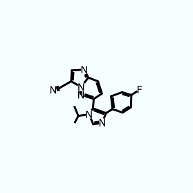 CC(C)n1cnc(-c2ccc(F)cc2)c1-c1ccc2ncc(C#N)n2n1